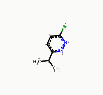 CC(C)c1ccc(Br)nn1